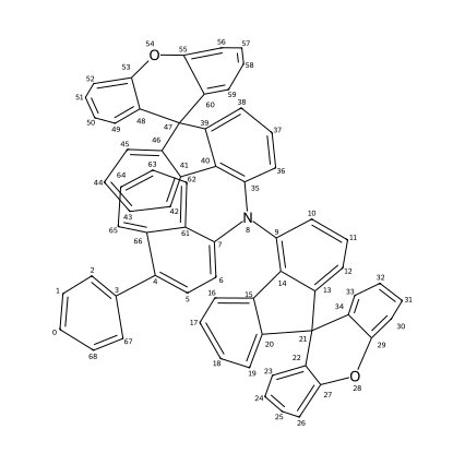 c1ccc(-c2ccc(N(c3cccc4c3-c3ccccc3C43c4ccccc4Oc4ccccc43)c3cccc4c3-c3ccccc3C43c4ccccc4Oc4ccccc43)c3ccccc23)cc1